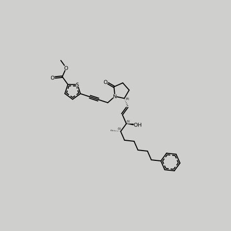 COC(=O)c1ccc(C#CCN2C(=O)CC[C@@H]2C=C[C@@H](O)[C@@H](C)CCCCCc2ccccc2)s1